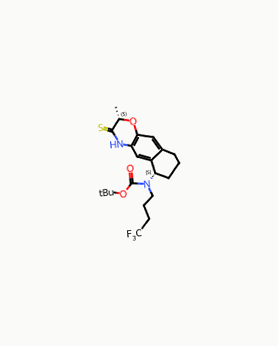 C[C@@H]1Oc2cc3c(cc2NC1=S)[C@@H](N(CCCC(F)(F)F)C(=O)OC(C)(C)C)CCC3